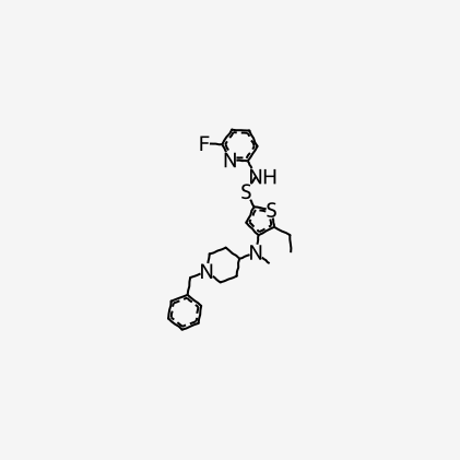 CCc1sc(SNc2cccc(F)n2)cc1N(C)C1CCN(Cc2ccccc2)CC1